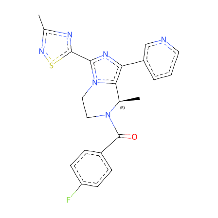 Cc1nsc(-c2nc(-c3cccnc3)c3n2CCN(C(=O)c2ccc(F)cc2)[C@@H]3C)n1